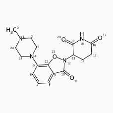 CN1CCN(c2cccc3c(=O)n(C4CCC(=O)NC4=O)oc23)CC1